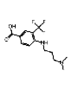 CN(C)CCCNc1ccc(C(=O)O)cc1C(F)(F)F